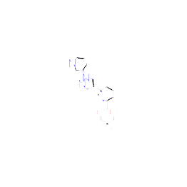 CC1(C)COC(c2cccc(-c3cnn(-c4cccnc4)c3)n2)OC1